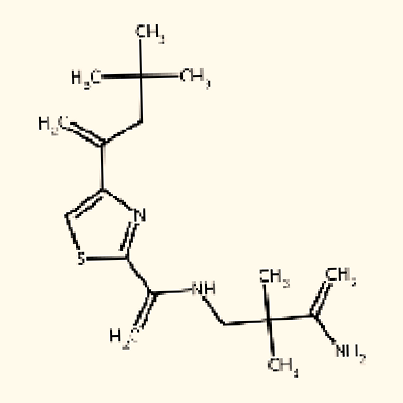 C=C(CC(C)(C)C)c1csc(C(=C)NCC(C)(C)C(=C)N)n1